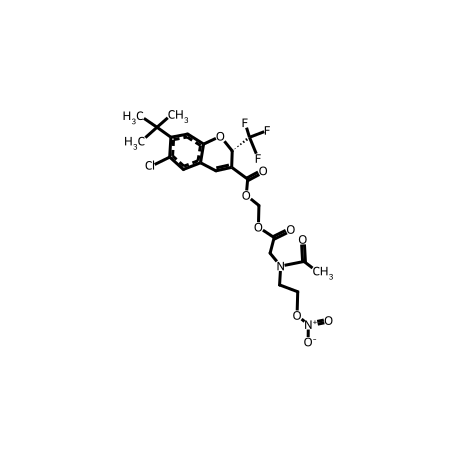 CC(=O)N(CCO[N+](=O)[O-])CC(=O)OCOC(=O)C1=Cc2cc(Cl)c(C(C)(C)C)cc2O[C@@H]1C(F)(F)F